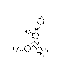 CCc1ccc(N(C(CC)CC)S(=O)(=O)c2ccc(NCC3CCOCC3)c(N)c2)cc1